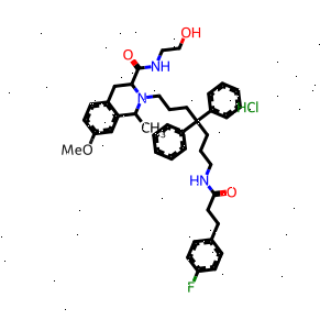 COc1ccc2c(c1)C(C)N(CCCC(CCCNC(=O)CCc1ccc(F)cc1)(c1ccccc1)c1ccccc1)C(C(=O)NCCO)C2.Cl